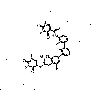 COc1cc(-c2cccc(-c3cccc(NC(=O)c4cn(C)c(=O)n(C)c4=O)c3C)c2C)cc(F)c1CNCc1cn(C)c(=O)n(C)c1=O